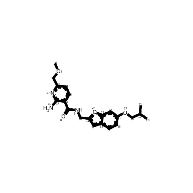 COCc1ccc(C(=O)NCc2cc3ccc(OCC(C)C)cc3o2)c(N)n1